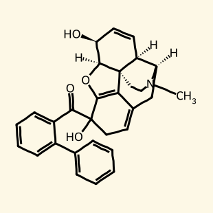 CN1CC[C@]23C4=C5O[C@H]2[C@@H](O)C=C[C@H]3[C@H]1CC4=CCC5(O)C(=O)c1ccccc1-c1ccccc1